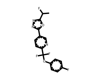 CC(F)c1nnc(-c2ccc(C(F)(F)Oc3ccc(F)cc3)nc2)o1